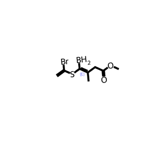 B/C(SC(=C)Br)=C(/C)CC(=O)OC